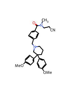 COc1ccc(C2(c3ccc(OC)cc3)CCCN(Cc3ccc(C(=O)N(C)CCC#N)cc3)C2)cc1